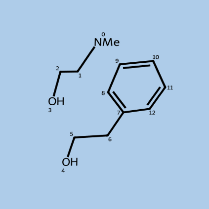 CNCCO.OCCc1ccccc1